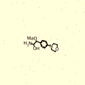 COC(c1ccc(N2CCOCC2)cc1)C(N)O